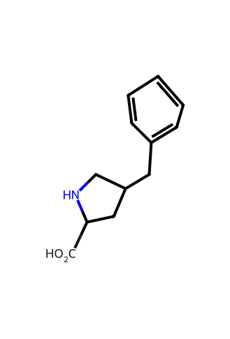 O=C(O)C1CC(Cc2ccccc2)CN1